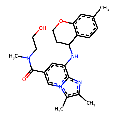 Cc1ccc2c(c1)OCCC2Nc1cc(C(=O)N(C)CCO)cn2c(C)c(C)nc12